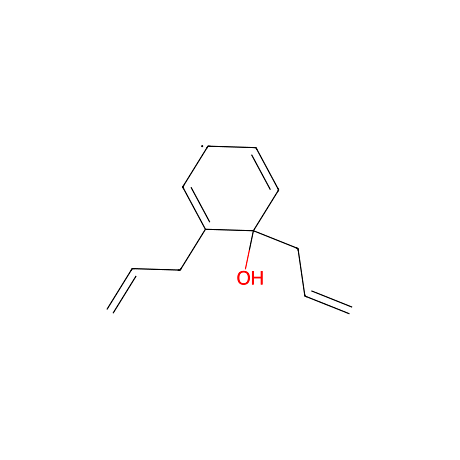 C=CCC1=C[CH]C=CC1(O)CC=C